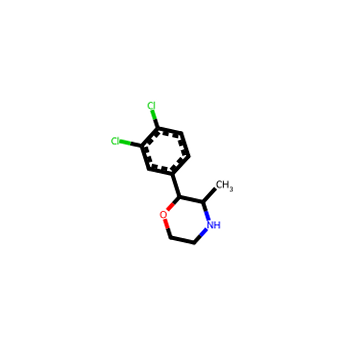 CC1NCCOC1c1ccc(Cl)c(Cl)c1